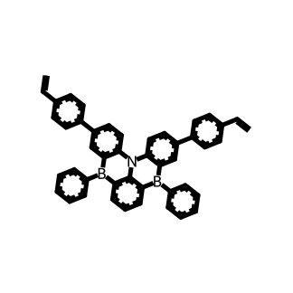 C=Cc1ccc(-c2ccc3c(c2)B(c2ccccc2)c2cccc4c2N3c2ccc(-c3ccc(C=C)cc3)cc2B4c2ccccc2)cc1